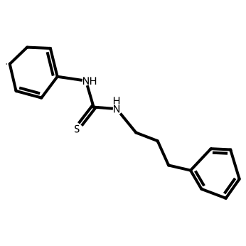 S=C(NCCCc1ccccc1)NC1=CC[CH]C=C1